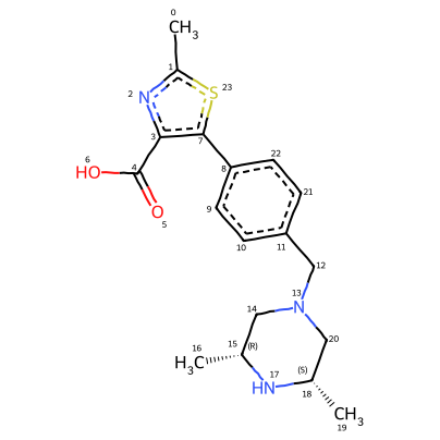 Cc1nc(C(=O)O)c(-c2ccc(CN3C[C@@H](C)N[C@@H](C)C3)cc2)s1